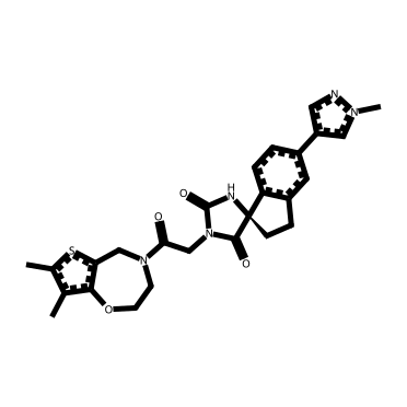 Cc1sc2c(c1C)OCCN(C(=O)CN1C(=O)N[C@@]3(CCc4cc(-c5cnn(C)c5)ccc43)C1=O)C2